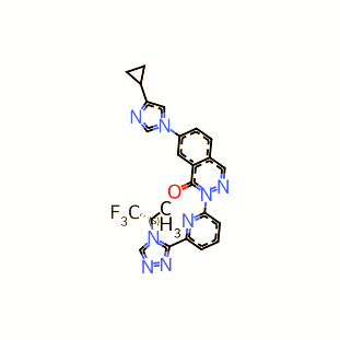 C[C@H](n1cnnc1-c1cccc(-n2ncc3ccc(-n4cnc(C5CC5)c4)cc3c2=O)n1)C(F)(F)F